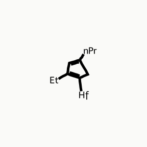 CCCC1=CC(CC)=[C]([Hf])C1